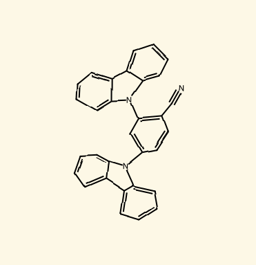 N#Cc1ccc(-n2c3ccccc3c3ccccc32)cc1-n1c2ccccc2c2ccccc21